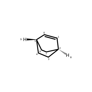 C1=C[C@H]2CC[C@H]1CC2